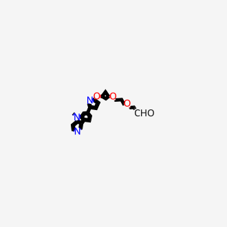 Cn1c2ccncc2c2ccc(-c3ccc(OC4CC(OCCCOCCC=O)C4)nc3)cc21